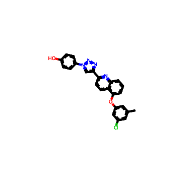 Cc1cc(Cl)cc(Oc2cccc3nc(-c4cn(-c5ccc(O)cc5)nn4)ccc23)c1